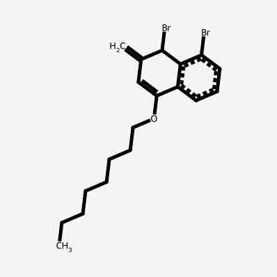 C=C1C=C(OCCCCCCCC)c2cccc(Br)c2C1Br